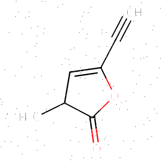 C#CC1=CC(C)C(=O)O1